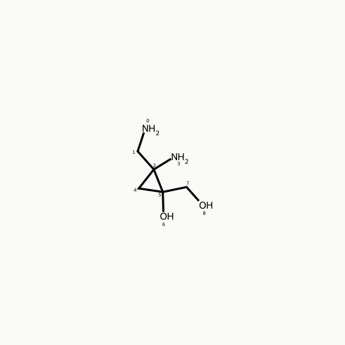 NCC1(N)CC1(O)CO